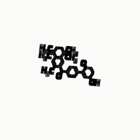 Cc1cc2c(cc1C(=O)c1ccc(C3=CC(O)CCC3=O)cc1)C(C)(C)CCC2(C)C